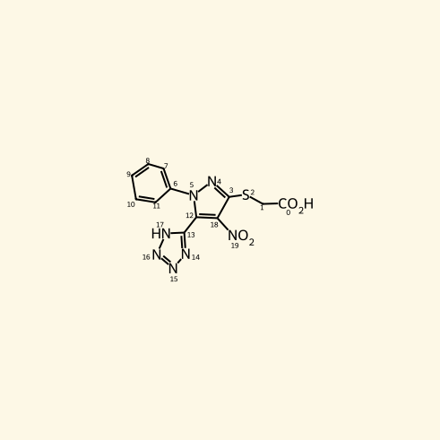 O=C(O)CSc1nn(-c2ccccc2)c(-c2nnn[nH]2)c1[N+](=O)[O-]